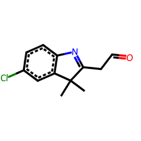 CC1(C)C(CC=O)=Nc2ccc(Cl)cc21